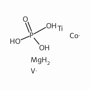 O=P(O)(O)O.[Co].[MgH2].[Ti].[V]